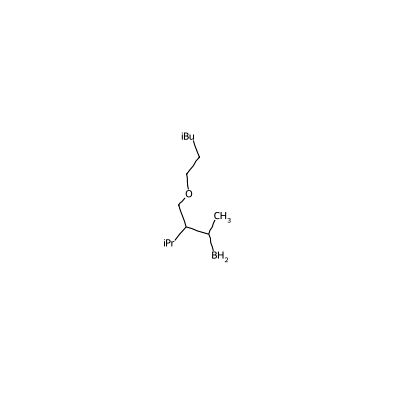 BC(C)C(COCCC(C)CC)C(C)C